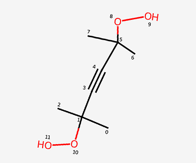 CC(C)(C#CC(C)(C)OO)OO